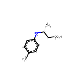 C[C@H](CC(=O)O)Nc1ccc(C(F)(F)F)cc1